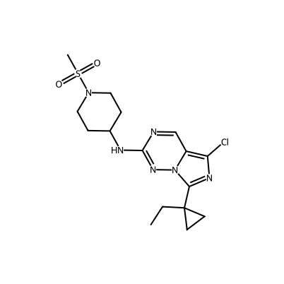 CCC1(c2nc(Cl)c3cnc(NC4CCN(S(C)(=O)=O)CC4)nn23)CC1